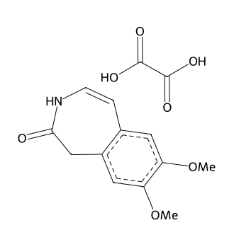 COc1cc2c(cc1OC)CC(=O)NC=C2.O=C(O)C(=O)O